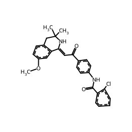 COc1ccc2c(c1)C(=CC(=O)c1ccc(NC(=O)c3ccccc3Cl)cc1)NC(C)(C)C2